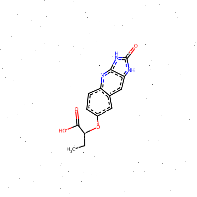 CCC(Oc1ccc2nc3[nH]c(=O)[nH]c3cc2c1)C(=O)O